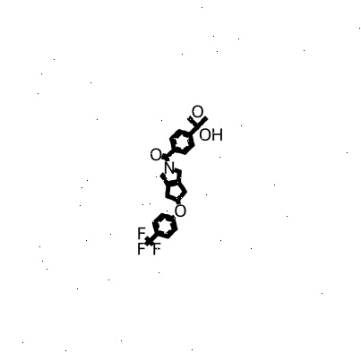 O=C(c1ccc(C2(O)COC2)cc1)N1CC2=C(CC(Oc3ccc(C(F)(F)F)cc3)C2)C1